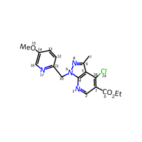 CCOC(=O)c1cnc2c(c(C)nn2Cc2ccc(OC)cn2)c1Cl